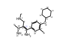 CNC/C(=C(/N)c1ccc(OC2CCCCC2)c(C)n1)N(C)N